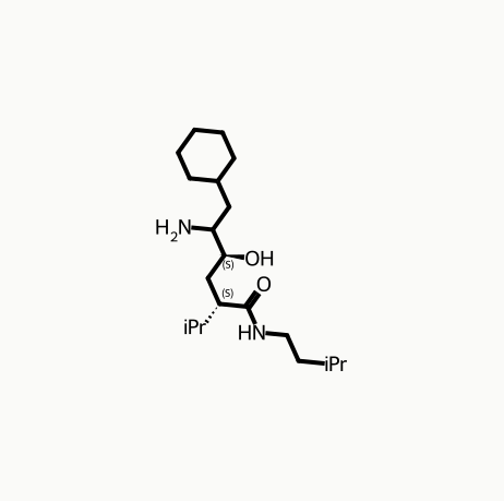 CC(C)CCNC(=O)[C@@H](C[C@H](O)C(N)CC1CCCCC1)C(C)C